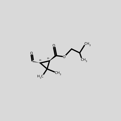 CC(C)COC(=O)[C@@H]1[C@@H](C=O)C1(C)C